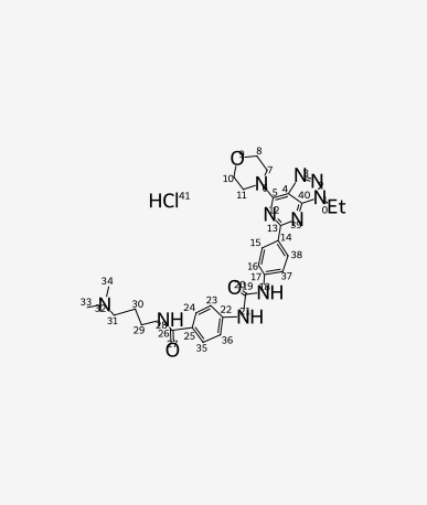 CCn1nnc2c(N3CCOCC3)nc(-c3ccc(NC(=O)Nc4ccc(C(=O)NCCCN(C)C)cc4)cc3)nc21.Cl